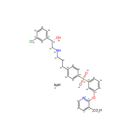 O=C(O)c1cccnc1Oc1cccc(S(=O)(=O)c2ccc(CCCNC[C@@H](O)c3cccc(Cl)c3)cc2)c1.[NaH]